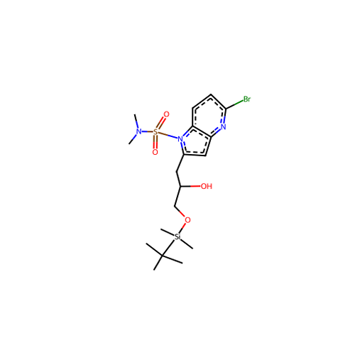 CN(C)S(=O)(=O)n1c(CC(O)CO[Si](C)(C)C(C)(C)C)cc2nc(Br)ccc21